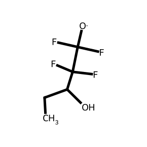 CCC(O)C(F)(F)C([O])(F)F